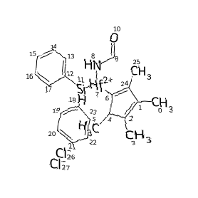 CC1=C(C)C(C)[C]([Hf+2]([NH]C=O)[SiH](c2ccccc2)c2ccccc2)=C1C.[Cl-].[Cl-]